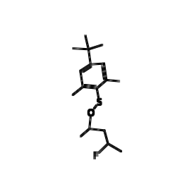 Cc1cc(C(C)(C)C)cc(C)c1SOC(C)CC(C)F